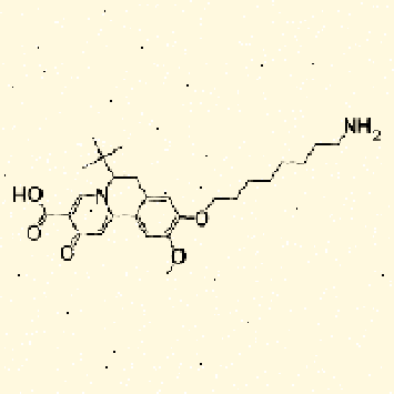 COc1cc2c(cc1OCCCCCCCCN)CC(C(C)(C)C)n1cc(C(=O)O)c(=O)cc1-2